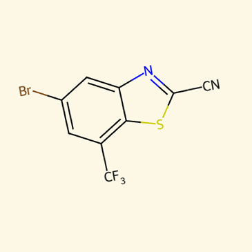 N#Cc1nc2cc(Br)cc(C(F)(F)F)c2s1